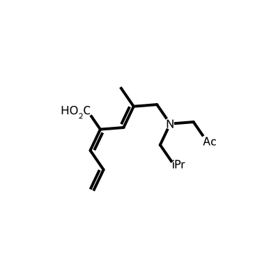 C=C/C=C(\C=C(/C)CN(CC(C)=O)CC(C)C)C(=O)O